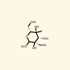 CC(=O)N[C@]1(O)C(OC(C)=O)O[C@H](COC(C)=O)[C@](O)(F)[C@@H]1OC(C)=O